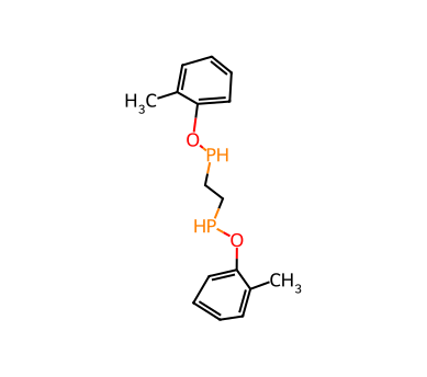 Cc1ccccc1OPCCPOc1ccccc1C